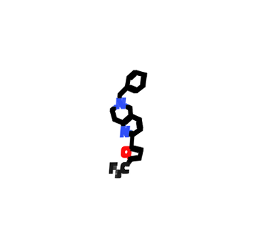 FC(F)(F)c1ccc(-c2ccc3c(n2)CCN(Cc2ccccc2)C3)o1